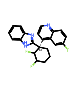 Fc1ccc2nccc([C@]3(c4nc5ccccc5[nH]4)CCCC(F)C3F)c2c1